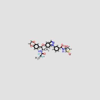 C[C@H](NC(=O)C(C)(F)F)[C@H](Oc1ccc2c(cnn2-c2cccc(C(=O)N[C@@]3(O)CC[S+]([O-])C3)c2)c1)c1ccc2c(c1)OCCO2